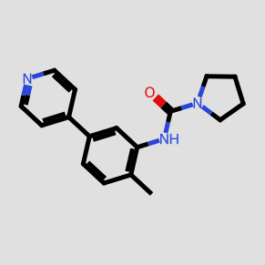 Cc1ccc(-c2ccncc2)cc1NC(=O)N1CCCC1